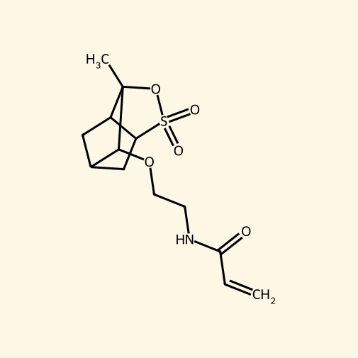 C=CC(=O)NCCOC1C2CC3C(C2)S(=O)(=O)OC31C